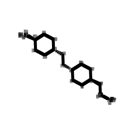 CCCOC[C@H]1CC[C@H](CC[C@H]2CC[C@H](C)CC2)CC1